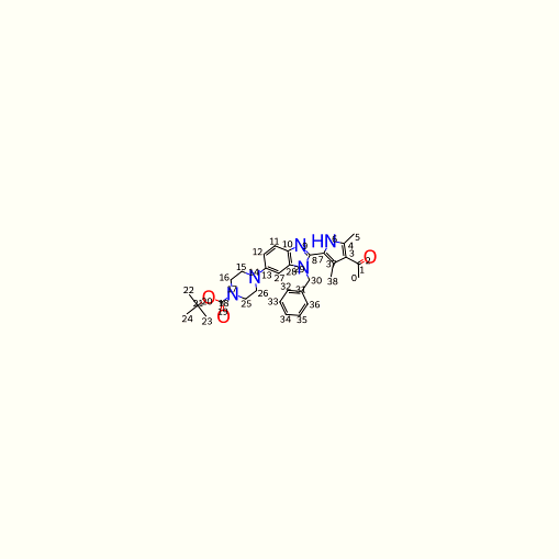 CC(=O)c1c(C)[nH]c(-c2nc3ccc(N4CCN(C(=O)OC(C)(C)C)CC4)cc3n2Cc2ccccc2)c1C